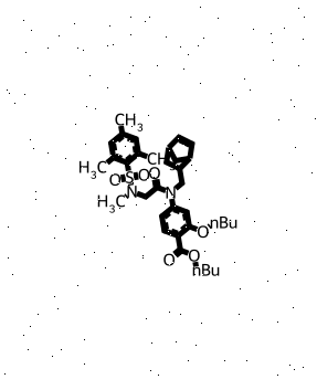 CCCCOC(=O)c1ccc(N(CC2CC3C=CC2C3)C(=O)CN(C)S(=O)(=O)c2c(C)cc(C)cc2C)cc1OCCCC